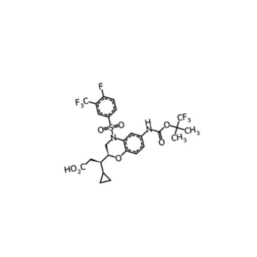 CC(C)(OC(=O)Nc1ccc2c(c1)N(S(=O)(=O)c1ccc(F)c(C(F)(F)F)c1)C[C@H]([C@H](CC(=O)O)C1CC1)O2)C(F)(F)F